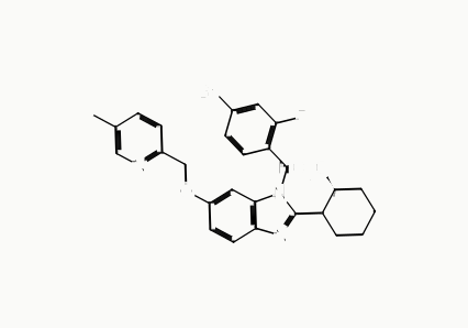 Cc1ccc(COc2ccc3nc(C4CCCC[C@@H]4C(=O)O)n(Cc4ccc(Br)cc4F)c3c2)nc1